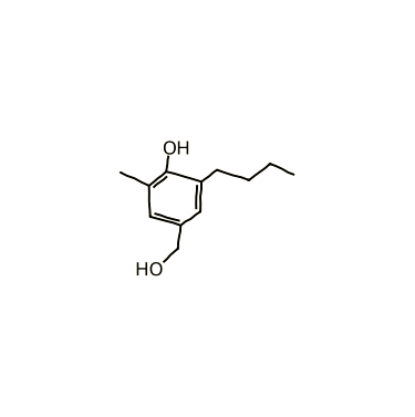 CCCCc1cc(CO)cc(C)c1O